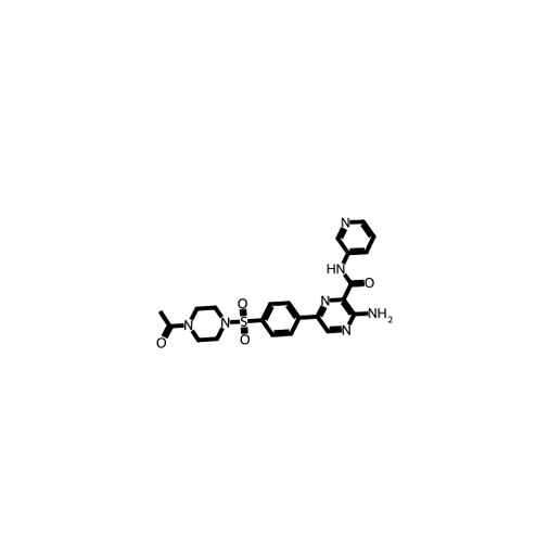 CC(=O)N1CCN(S(=O)(=O)c2ccc(-c3cnc(N)c(C(=O)Nc4cccnc4)n3)cc2)CC1